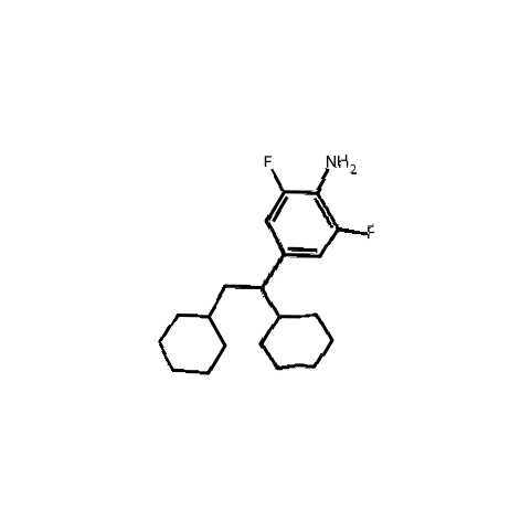 Nc1c(F)cc(C(CC2CCCCC2)C2CCCCC2)cc1F